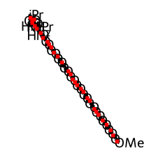 COCCOCCOCCOCCOCCOCCOCCOCCOCCOCCOCCOCCOCCOCCOCCOCCOCCOCCOCCOCCOCCOCCOCCOCCC(=O)NCCCCC(NC(=O)C(CN)N1C(=O)CC(CC(C)C)C1=O)C(=O)C(C)C